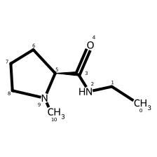 CCNC(=O)[C@@H]1CCCN1C